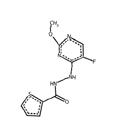 COc1ncc(F)c(NNC(=O)c2cccs2)n1